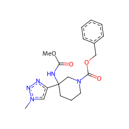 COC(=O)NC1(c2cn(C)nn2)CCCN(C(=O)OCc2ccccc2)C1